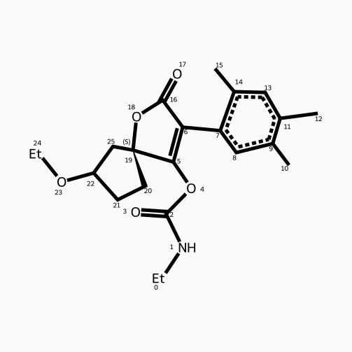 CCNC(=O)OC1=C(c2cc(C)c(C)cc2C)C(=O)O[C@]12CCC(OCC)C2